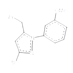 COc1cccc(-n2nc(Br)cc2CC(C)C)c1